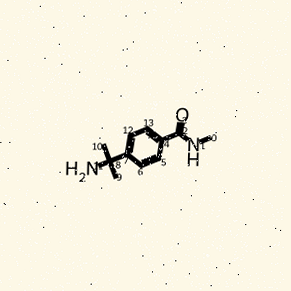 CNC(=O)c1ccc(C(C)(C)N)cc1